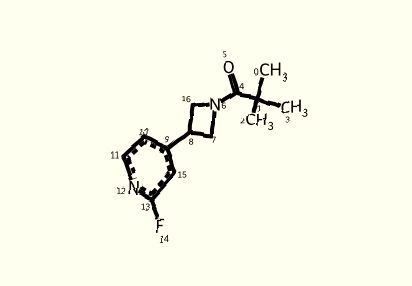 CC(C)(C)C(=O)N1CC(c2ccnc(F)c2)C1